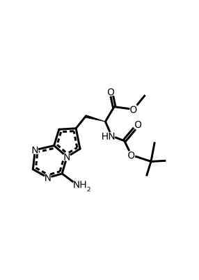 COC(=O)[C@H](Cc1cc2ncnc(N)n2c1)NC(=O)OC(C)(C)C